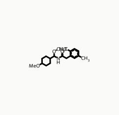 COC1CCC(C(NC(=O)Cc2cc(C)ccc2C)OC=O)CC1